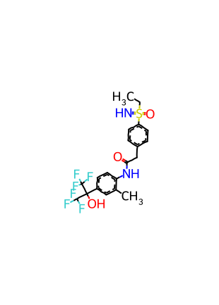 CCS(=N)(=O)c1ccc(CC(=O)Nc2ccc(C(O)(C(F)(F)F)C(F)(F)F)cc2C)cc1